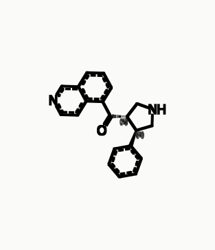 O=C(c1cccc2cnccc12)[C@@H]1CNC[C@H]1c1ccccc1